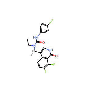 CCN(C(=O)Nc1ccc(F)cc1)[C@@H](C)c1c[nH]c(=O)c2c(F)c(F)ccc12